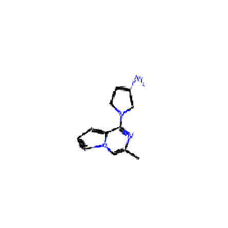 Cc1cn2cccc2c(N2CC[C@H](N)C2)n1